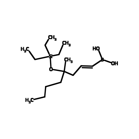 CCCCC(C)(C/C=C/B(O)O)O[Si](CC)(CC)CC